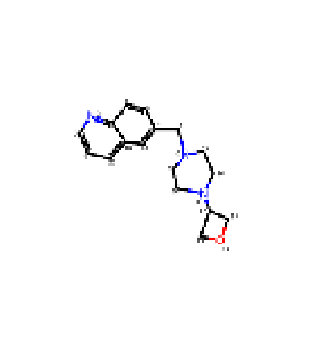 c1cnc2ccc(CN3CCN(C4COC4)CC3)cc2c1